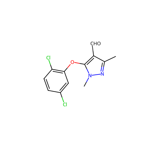 Cc1nn(C)c(Oc2cc(Cl)ccc2Cl)c1C=O